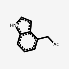 CC(=O)Cc1cccc2[nH]ccc12